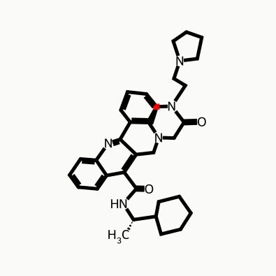 C[C@H](NC(=O)c1c(CN2CCN(CCN3CCCC3)C(=O)C2)c(-c2ccccc2)nc2ccccc12)C1CCCCC1